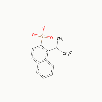 CC(C)c1c(S(=O)(=O)[O-])ccc2ccccc12.[K+]